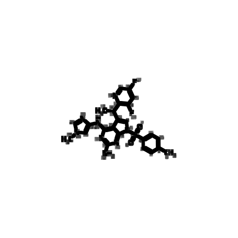 Cc1ccc(S(=O)(=O)n2cc([C@@H](C)c3ncc(F)cc3F)c3c(Nc4cn(C)cn4)nc(N)nc32)cc1